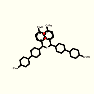 CCCCCCC1CCC(C2CCC(C(OC(c3ccc(OC)cc3)C3CCC(C4CCC(CCCCCC)CC4)CC3)c3ccc(OC)cc3)CC2)CC1